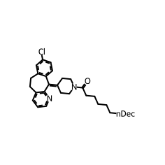 CCCCCCCCCCCCCCCC(=O)N1CCC(=C2c3ccc(Cl)cc3CCc3cccnc32)CC1